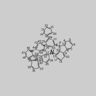 CC1(C)c2ccccc2-c2cccc(N(c3ccc(-c4ccccc4)cc3)c3cccc(C4(c5ccccc5)c5ccccc5-c5ccccc54)c3)c21